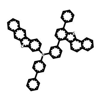 c1ccc(-c2ccc(N(c3cccc(-c4ccc(-c5ccccc5)c5sc6c7ccccc7ccc6c45)c3)c3ccc4c(c3)oc3cc5ccccc5cc34)cc2)cc1